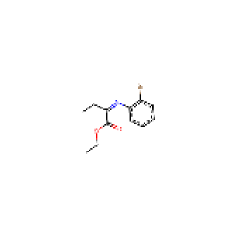 CCOC(=O)/C(CC)=N\c1ccccc1Br